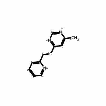 Cc1cc(OCc2ccccn2)ncn1